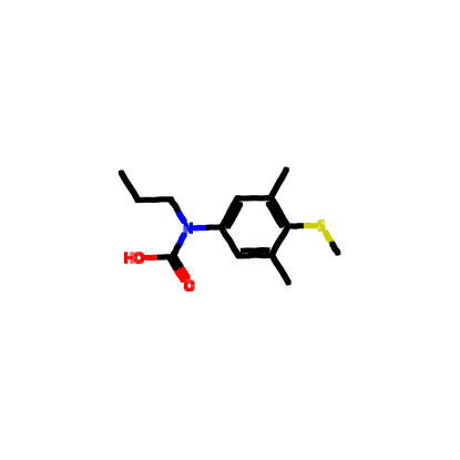 CCCN(C(=O)O)c1cc(C)c(SC)c(C)c1